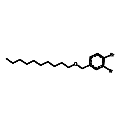 CCCCCCCCCCOCc1ccc(Br)c(Br)c1